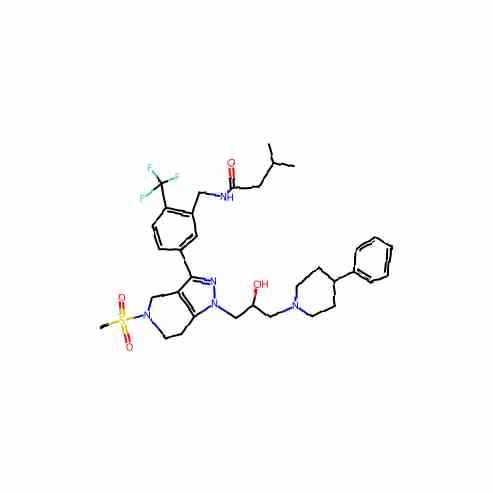 CC(C)CC(=O)NCc1cc(-c2nn(CC(O)CN3CCC(c4ccccc4)CC3)c3c2CN(S(C)(=O)=O)CC3)ccc1C(F)(F)F